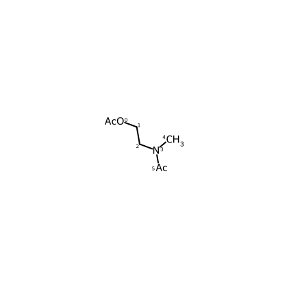 CC(=O)OCCN(C)C(C)=O